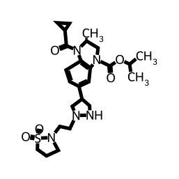 CC(C)OC(=O)N1C[C@H](C)N(C(=O)C2CC2)c2ccc(C3CNN(CCN4CCCS4(=O)=O)C3)cc21